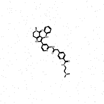 CN(C)CCNC(=O)c1ccc(CC(=O)Nc2cc(-c3[nH]c4c(c3Nc3ccccc3)C(=O)N(C)CC4)ccn2)cc1